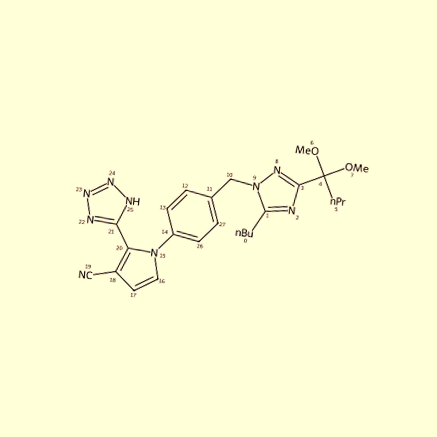 CCCCc1nc(C(CCC)(OC)OC)nn1Cc1ccc(-n2ccc(C#N)c2-c2nnn[nH]2)cc1